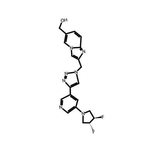 OCc1ccc2nc(Cn3cc(-c4cncc(N5C[C@@H](F)[C@H](F)C5)c4)nn3)cn2c1